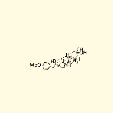 COc1ccc(CC(=O)[C@H]2CC[C@H]3[C@@H]4CC[C@@H]5C[C@](C)(O)CC[C@]5(C)[C@H]4CCC23C)cc1